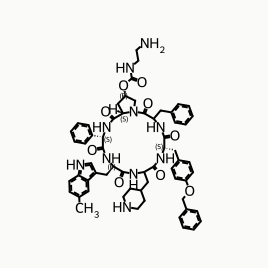 Cc1ccc2[nH]cc(C[C@H]3NC(=O)[C@H](c4ccccc4)NC(=O)[C@@H]4C[C@@H](OC(=O)NCCN)CN4C(=O)C(Cc4ccccc4)NC(=O)[C@H](Cc4ccc(OCc5ccccc5)cc4)NC(=O)C(CC4CCNCC4)NC3=O)c2c1